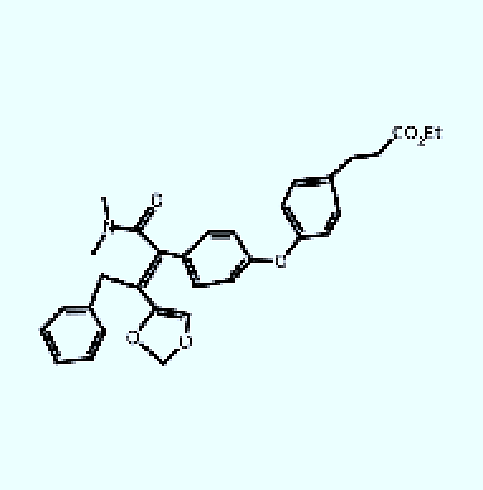 CCOC(=O)CCc1ccc(Oc2ccc(C(C(=O)N(C)C)=C(Cc3ccccc3)C3=COCO3)cc2)cc1